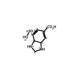 O=C(O)C1=CC2NCNC2C=C1.O=S(=O)(O)O